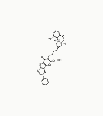 COc1cccc2c1[C@H]1CN(CCCCn3c(=O)[nH]c4c(sc5ncc(-c6ccccc6)nc54)c3=O)C[C@@H]1CO2.Cl